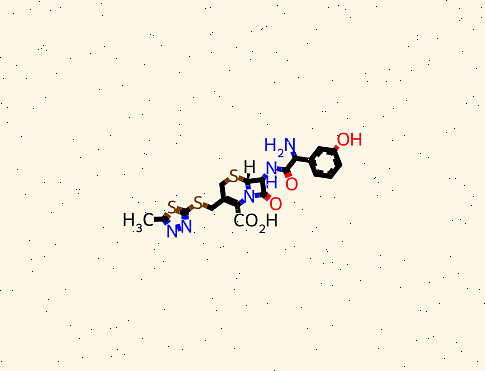 Cc1nnc(SCC2=C(C(=O)O)N3C(=O)C(NC(=O)C(N)c4cccc(O)c4)[C@H]3SC2)s1